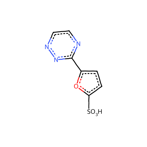 O=S(=O)(O)c1ccc(-c2nccnn2)o1